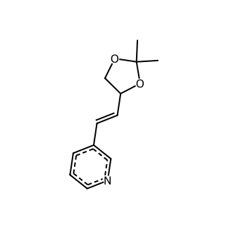 CC1(C)OCC(C=Cc2cccnc2)O1